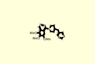 COc1cc2c(N3CCC(Cc4cncnc4)CC3)nncc2c(OC)c1OC